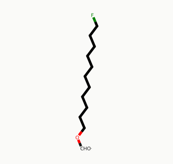 O=[C]OCCCCCCCCCCCF